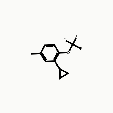 Cc1ccc(OC(F)(F)F)c(C2CC2)c1